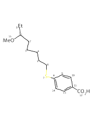 CCC(CCCCCSc1ccc(C(=O)O)cc1)OC